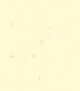 CCOc1cc2nc(N3CCOCC3)nc(N3CCC(n4c(=O)c5cc(C)ccc5n(CC)c4=O)CC3)c2cc1OCC